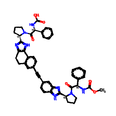 COC(=O)N[C@@H](C(=O)N1CCC[C@H]1c1nc2cc(C#Cc3ccc4c(c3)CCc3nc([C@@H]5CCCN5C(=O)[C@H](NC(=O)O)c5ccccc5)[nH]c3-4)ccc2[nH]1)c1ccccc1